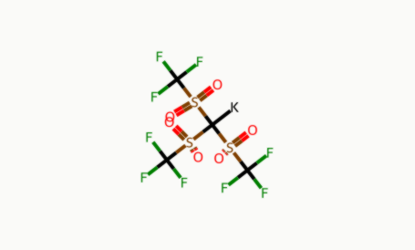 O=S(=O)(C(F)(F)F)[C]([K])(S(=O)(=O)C(F)(F)F)S(=O)(=O)C(F)(F)F